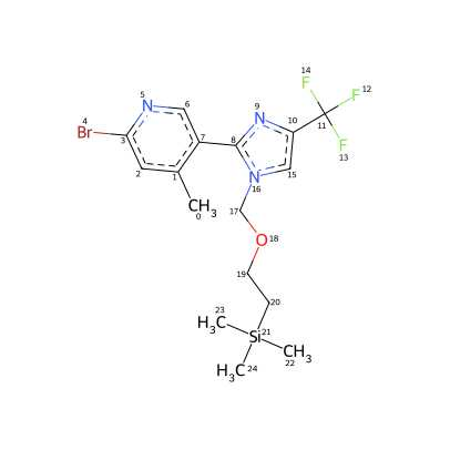 Cc1cc(Br)ncc1-c1nc(C(F)(F)F)cn1COCC[Si](C)(C)C